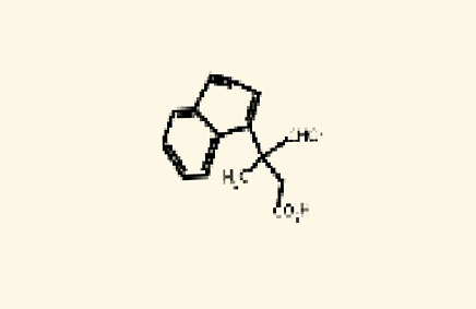 CC([C]=O)(CC(=O)O)c1cccc2ccccc12